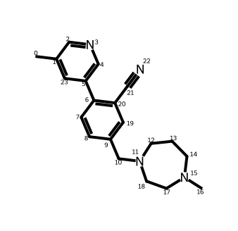 Cc1cncc(-c2ccc(CN3CCCN(C)CC3)cc2C#N)c1